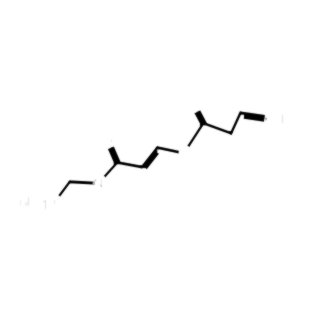 C=CCC(=O)SC=CC(=O)NCCCCCCCC